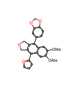 COc1cc2c(-c3ccc4c(c3)OCO4)c3c(c(-c4ccco4)c2cc1OC)COC3